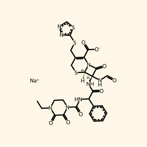 CCN1CCN(C(=O)NC(C(=O)N[C@]2(NC=O)C(=O)N3C(C(=O)[O-])=C(CSc4nncs4)CS[C@@H]32)c2ccccc2)C(=O)C1=O.[Na+]